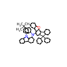 CC(C)(C)c1ccc(N(c2cc3c(c4oc5ccccc5c24)-c2ccccc2C3(c2ccccc2)c2ccccc2)c2cccc3c4ccccc4n(-c4ccccc4)c23)cc1